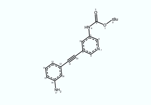 CC(C)(C)OC(=O)Nc1cncc(C#Cc2cccc(N)c2)c1